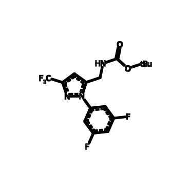 CC(C)(C)OC(=O)NCc1cc(C(F)(F)F)nn1-c1cc(F)cc(F)c1